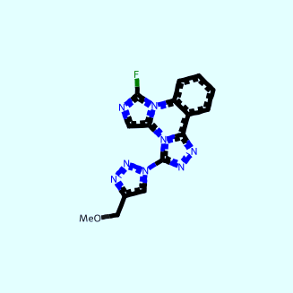 COCc1cn(-c2nnc3c4ccccc4n4c(F)ncc4n23)nn1